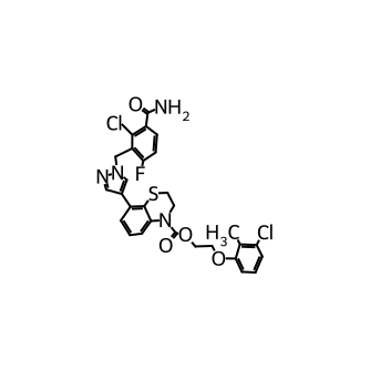 Cc1c(Cl)cccc1OCCOC(=O)N1CCSc2c(-c3cnn(Cc4c(F)ccc(C(N)=O)c4Cl)c3)cccc21